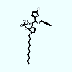 CC#CCOC(CN1C=CN(CCCCCCCCCC)C1OP(=O)(O)O)c1ccc(Cl)s1